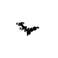 CC(C)[C@H]1CC[C@@H](N2CCC(N3C(=O)C(CCNC(=O)[C@@H](N)CCCNC(=N)N)c4cc(F)ccc43)CC2)CC1